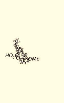 COc1ccc2ncc(Cl)c(C(=O)CC[C@@H]3CCN(CCSC4CCC4)C[C@@H]3CC(=O)O)c2c1